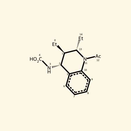 CC[C@@H]1[C@@H](NC(=O)O)c2ccccc2N(C(C)=O)[C@H]1CC